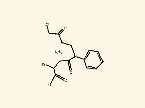 CCC(=O)C(C(C)C)[C@H](N)C(=O)N(CCC(=O)CCl)c1ccccc1